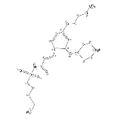 CCCCCS(=O)(=O)NC(=O)/C=C/c1ccc(OCCOC)cc1OC1CCNCC1